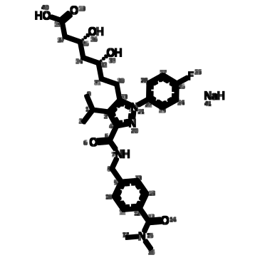 CC(C)c1c(C(=O)NCc2ccc(C(=O)N(C)C)cc2)nn(-c2ccc(F)cc2)c1CC[C@@H](O)C[C@@H](O)CC(=O)O.[NaH]